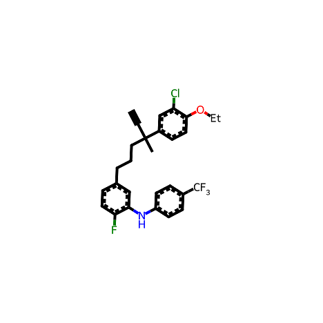 C#CC(C)(CCCc1ccc(F)c(Nc2ccc(C(F)(F)F)cc2)c1)c1ccc(OCC)c(Cl)c1